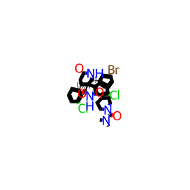 CN(C)C(=O)N1CCC(Oc2ccc(Br)cc2[C@H]2NC(=O)C[C@@H](c3cccc(Cl)c3)[C@]23C(=O)Nc2cc(Cl)ccc23)CC1